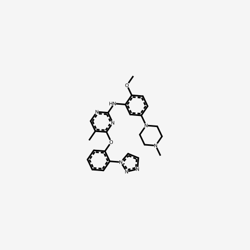 COc1ccc(N2CCN(C)CC2)cc1Nc1ncc(C)c(Oc2ccccc2-n2ccnn2)n1